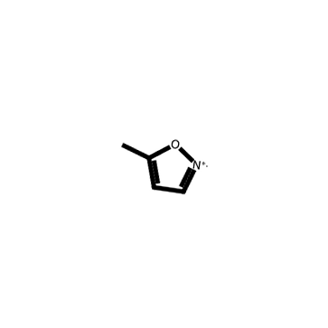 CC1=CC=[N+]O1